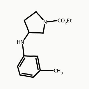 CCOC(=O)N1CCC(Nc2cccc(C)c2)C1